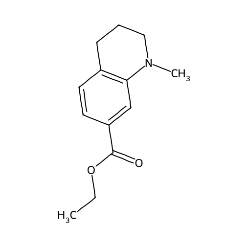 CCOC(=O)c1ccc2c(c1)N(C)CCC2